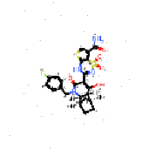 NC(=O)c1csc2c1S(=O)(=O)N=C(C1=C(O)[C@@H]3[C@H]4CC[C@H](C4)[C@@H]3N(Cc3ccc(F)cc3)C1=O)N2